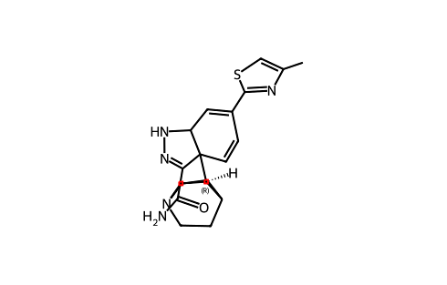 Cc1csc(C2=CC3NN=C(C(N)=O)C3([C@@H]3CN4CCC3CC4)C=C2)n1